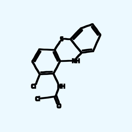 O=C(Cl)Nc1c(Cl)ccc2c1Nc1ccccc1S2